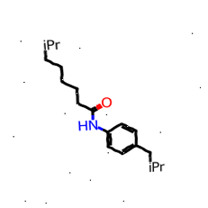 CC(C)CCCCCC(=O)Nc1ccc(CC(C)C)cc1